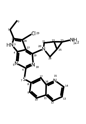 CCc1[nH]c2nc(Sc3ccc4cccnc4c3)nc(N3CC4C(N)C4C3)c2c1Cl